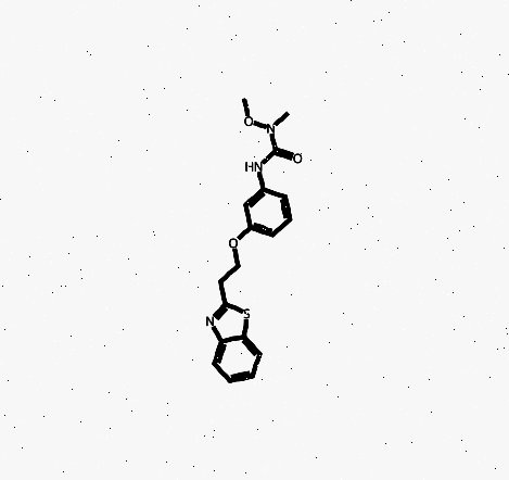 CON(C)C(=O)Nc1cccc(OCCc2nc3ccccc3s2)c1